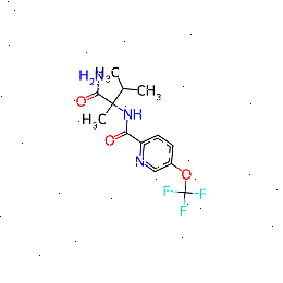 CC(C)C(C)(NC(=O)c1ccc(OC(F)(F)F)cn1)C(N)=O